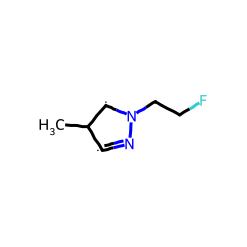 CC1[C]=NN(CCF)[CH]1